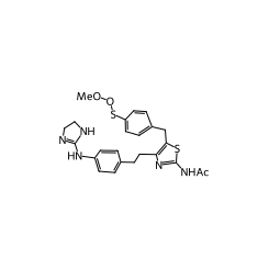 COOSc1ccc(Cc2sc(NC(C)=O)nc2CCc2ccc(NC3=NCCN3)cc2)cc1